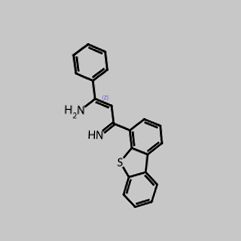 N=C(/C=C(\N)c1ccccc1)c1cccc2c1sc1ccccc12